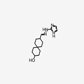 OC1CCC2(CC1)CCC(C=NNc1ncc[nH]1)CC2